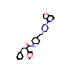 O=C(NC1CCC(CCN2CCN(c3nccc4c3CCO4)CC2)CC1)C(Cc1ccccc1)C1=COCO1